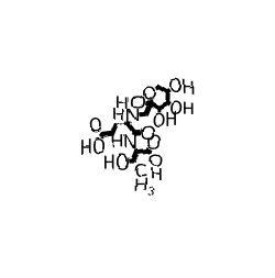 CC(O)[C@H](NC(=O)[C@H](CCC(=O)O)NCC1(O)OCC(O)C(O)C1O)C(=O)O